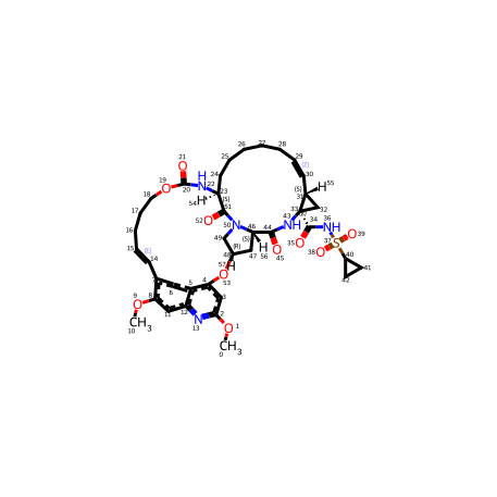 COc1cc2c3cc(c(OC)cc3n1)/C=C/CCCOC(=O)N[C@H]1CCCCC/C=C\[C@@H]3C[C@@]3(C(=O)NS(=O)(=O)C3CC3)NC(=O)[C@@H]3C[C@H](CN3C1=O)O2